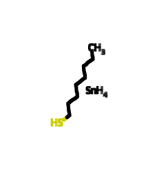 CCCCCCCCS.[SnH4]